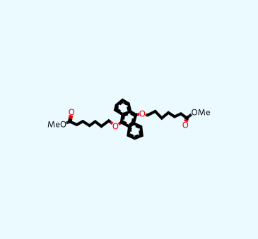 COC(=O)CCCCCCOc1c2ccccc2c(OCCCCCCC(=O)OC)c2ccccc12